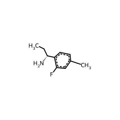 CC[C@@H](N)c1ccc(C)cc1F